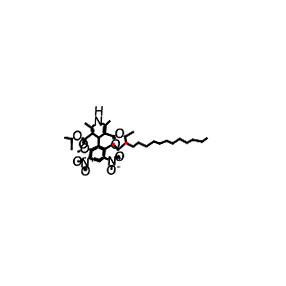 CCCCCCCCCCCCCCCc1c([N+](=O)[O-])cc([N+](=O)[O-])c(OC)c1C1C(C(=O)OC(C)C)=C(C)NC(C)=C1C(=O)OC(C)C